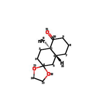 CCC[C@@]12CCC3(C[C@H]1CCCC2=O)OCCO3